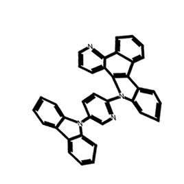 c1ccc2c(c1)c1ncccc1c1c2c2ccccc2n1-c1ccc(-n2c3ccccc3c3ccccc32)cn1